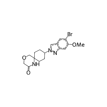 COc1cc2nn(C3CCC4(CC3)COCC(=O)N4)cc2cc1Br